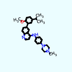 COc1ccc(C(C)C)cc1-c1ccc2nccc(Nc3ccc(N4CCN(C)CC4)cc3)c2c1